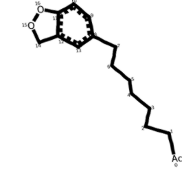 CC(=O)CCCCCCCc1ccc2c(c1)COO2